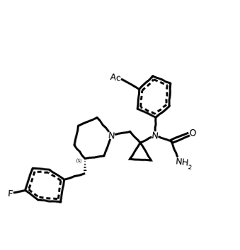 CC(=O)c1cccc(N(C(N)=O)C2(CN3CCC[C@@H](Cc4ccc(F)cc4)C3)CC2)c1